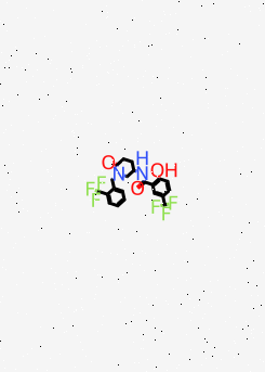 O=C(NC1CCC(=O)N(Cc2ccccc2C(F)(F)F)C1)c1cc(C(F)(F)F)ccc1O